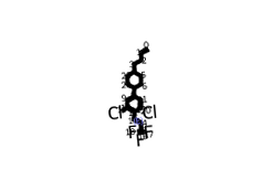 C=CCCC1CCC(c2cc(Cl)c(/C=C/C(F)(F)F)c(Cl)c2)CC1